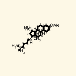 COc1ccc2c(c1)CC[C@@H]1[C@@H]2CC[C@]2(C)[C@@H](NCCCCN(C)C)CC[C@@H]12.Cl.Cl